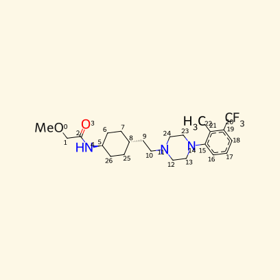 COCC(=O)N[C@H]1CC[C@H](CCN2CCN(c3cccc(C(F)(F)F)c3C)CC2)CC1